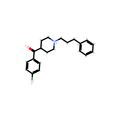 O=C(c1ccc(Cl)cc1)C1CCN(CC[CH]c2ccccc2)CC1